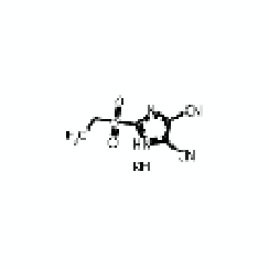 N#Cc1nc(S(=O)(=O)CC(F)(F)F)[nH]c1C#N.[KH]